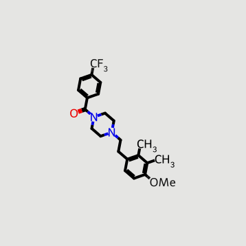 COc1ccc(CCN2CCN(C(=O)c3ccc(C(F)(F)F)cc3)CC2)c(C)c1C